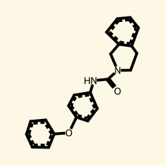 O=C(Nc1ccc(Oc2ccccc2)cc1)N1CCc2ccccc2C1